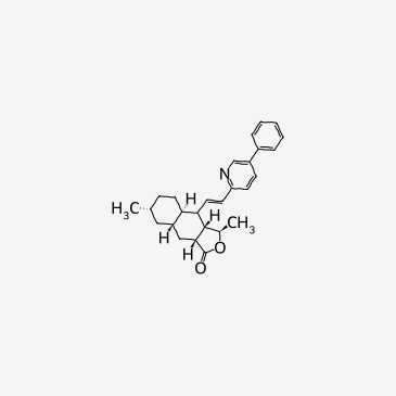 C[C@@H]1CC[C@H]2C(/C=C/c3ccc(-c4ccccc4)cn3)[C@@H]3[C@@H](C)OC(=O)[C@@H]3C[C@@H]2C1